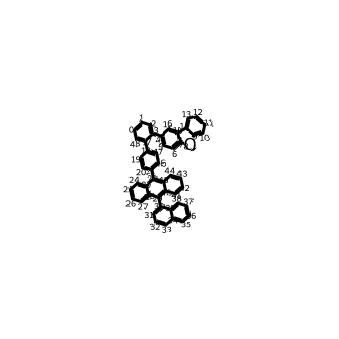 c1ccc(-c2ccc3oc4ccccc4c3c2)c(-c2ccc(-c3c4ccccc4c(-c4cccc5ccccc45)c4ccccc34)cc2)c1